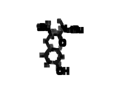 CN(C(=O)[C@@H](Cc1ccc(O)cc1)C(C)(C)C)C(C)(C)C